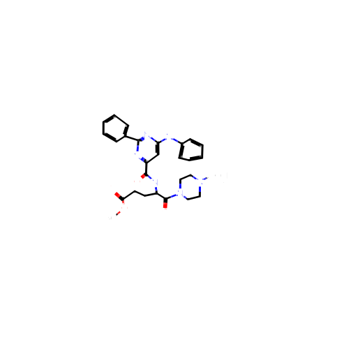 CCOC(=O)N1CCN(C(=O)C(CCC(=O)OC(C)(C)C)NC(=O)c2cc(Nc3ccccc3)nc(-c3ccccc3)n2)CC1